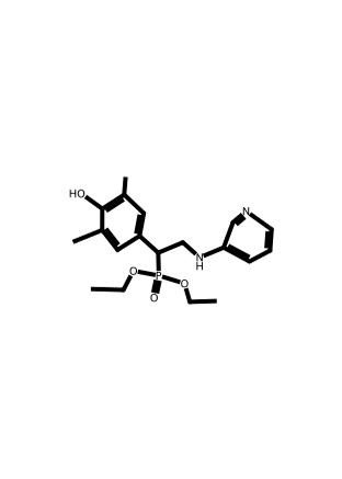 CCOP(=O)(OCC)C(CNc1cccnc1)c1cc(C)c(O)c(C)c1